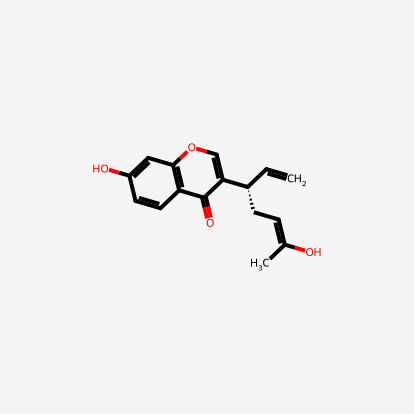 C=C[C@H](C/C=C(\C)O)c1coc2cc(O)ccc2c1=O